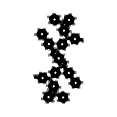 Cc1ccc(N(c2ccc(-n3c(-c4ccc(-c5ccccc5)cc4)cc4cc5c(cc(-c6ccc(-c7ccccc7)cc6)n5-c5ccc(N(c6ccc(C)cc6)c6ccc7c(c6)c6ccccc6n7-c6ccccc6)cc5)cc43)cc2)c2ccc3c(c2)c2ccccc2n3-c2ccccc2)cc1